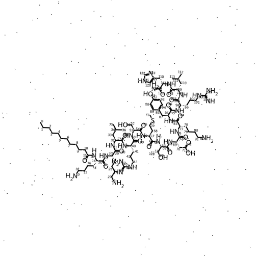 CCCCCCCCCCCC(=O)N[C@@H](CCCCN)C(=O)N[C@@H](CCCCN)C(=O)N[C@@H](CC(C)C)C(=O)N[C@@H](CCCNC(=N)N)C(=O)N[C@@H](CO)C(=O)N[C@@H](CCSC)C(=O)N[C@H](C(=O)N[C@@H](CC(=O)O)C(=O)N[C@@H](CCCCN)C(=O)N[C@@H](Cc1ccc(O)cc1)C(=O)N[C@@H](CCCNC(=N)N)C(=O)N[C@@H](CC(C)C)C(=O)N[C@@H](Cc1c[nH]cn1)C(N)=O)[C@@H](C)O